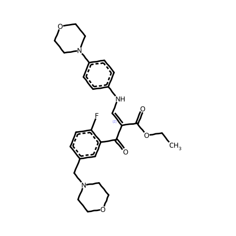 CCOC(=O)/C(=C\Nc1ccc(N2CCOCC2)cc1)C(=O)c1cc(CN2CCOCC2)ccc1F